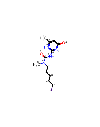 Cc1cc(=O)nc(NC(=O)N(C)CCCCCI)[nH]1